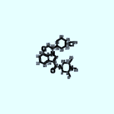 CC1CN(C(=O)c2cn3c4c(cccc24)OC[C@H]3C2CCCCC2)CC(C)N1C.Cl